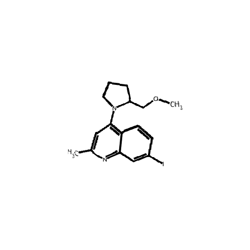 COCC1CCCN1c1cc(C)nc2cc(I)ccc12